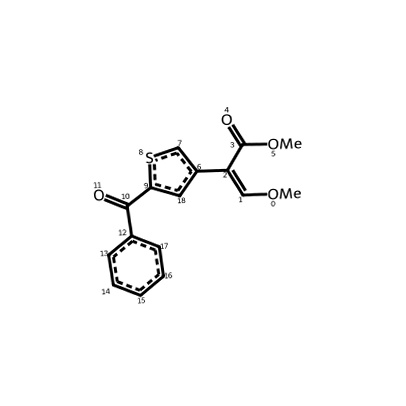 COC=C(C(=O)OC)c1csc(C(=O)c2ccccc2)c1